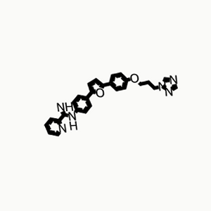 N=C(Nc1ccc(-c2ccc(-c3ccc(OCCCn4cncn4)cc3)o2)cc1)c1ccccn1